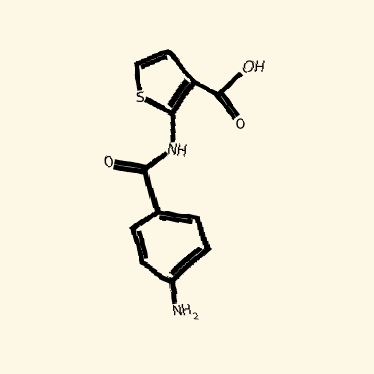 Nc1ccc(C(=O)Nc2sccc2C(=O)O)cc1